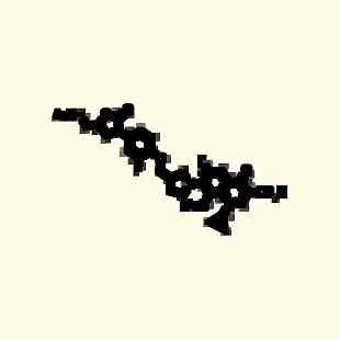 COc1c(N2CCC(COc3ccc(N4CC(CNC(C)=O)OC4=O)cc3F)C2)c(F)cc2c(=O)c(C(=O)O)cn(C3CC3)c12